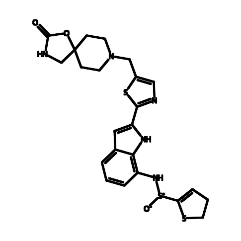 O=C1NCC2(CCN(Cc3cnc(-c4cc5cccc(N[S+]([O-])C6=CCCS6)c5[nH]4)s3)CC2)O1